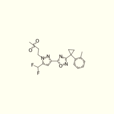 Cc1ccccc1C1(c2noc(-c3cc(C(F)F)n(CCS(C)(=O)=O)n3)n2)CC1